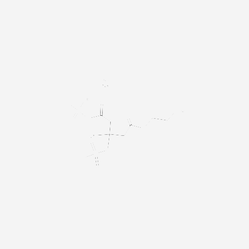 CCCCCCCCCCCCOC(=O)CC(CC(=O)OP(=O)(O)O)(OS(=O)(=O)[O-])C(=O)[O-].[Na+].[Na+]